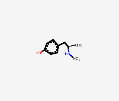 O=[C][C@H](Cc1ccc(O)cc1)N[N+](=O)[O-]